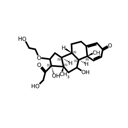 C[C@]12C=CC(=O)C=C1CC[C@@H]1[C@@H]2C(O)C[C@@]2(C)[C@H]1CC(OCCO)[C@]2(O)C(=O)CO